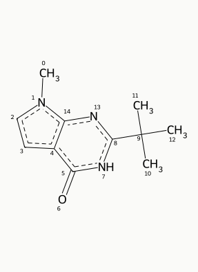 Cn1ccc2c(=O)[nH]c(C(C)(C)C)nc21